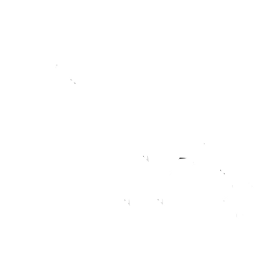 CC(=O)N1CC(c2ccc(-c3cc4nccnc4c(OC[C@@H]4CN(C(=O)OC(C)(C)C)CCO4)n3)cc2)C1